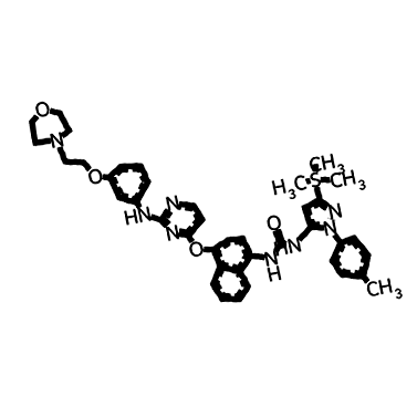 Cc1ccc(-n2nc(S(C)(C)C)cc2NC(=O)Nc2ccc(Oc3ccnc(Nc4cccc(OCCN5CCOCC5)c4)n3)c3ccccc23)cc1